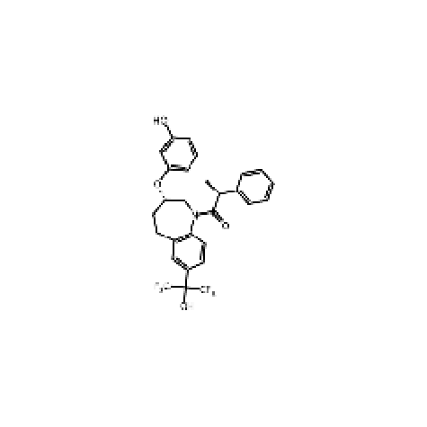 C[C@H](C(=O)N1C[C@@H](Oc2cccc(O)c2)CCc2cc(C(O)(C(F)(F)F)C(F)(F)F)ccc21)c1ccccc1